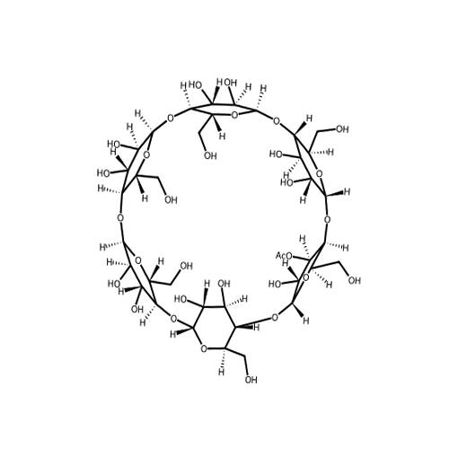 CC(=O)O[C@@H]1[C@@H](O)[C@H]2O[C@H]3[C@H](O)[C@@H](O)[C@@H](O[C@H]4[C@H](O)[C@@H](O)[C@@H](O[C@H]5[C@H](O)[C@@H](O)[C@@H](O[C@H]6[C@H](O)[C@@H](O)[C@@H](O[C@H]7[C@H](O)[C@@H](O)[C@@H](O[C@H]1[C@@H](CO)O2)O[C@@H]7CO)O[C@@H]6CO)O[C@@H]5CO)O[C@@H]4CO)O[C@@H]3CO